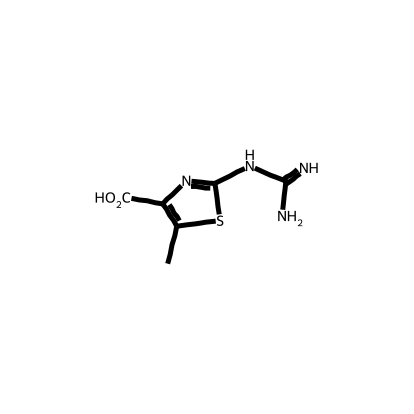 Cc1sc(NC(=N)N)nc1C(=O)O